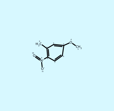 [CH2]c1cc(OC)ccc1[N+](=O)[O-]